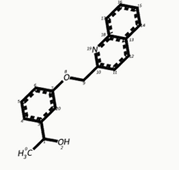 CC(O)c1cccc(OCc2ccc3ccccc3n2)c1